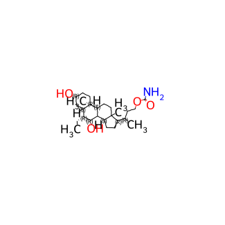 CC[C@H]1[C@@H](O)C2[C@@H]3CC[C@H]([C@H](C)CCOC(N)=O)C3(C)CC[C@@H]2[C@]2(C)CC[C@@H](O)C[C@@H]12